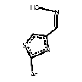 CC(=O)c1nc(/C=N\O)cs1